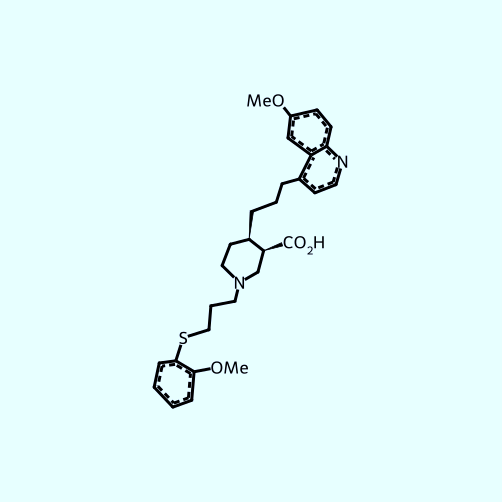 COc1ccc2nccc(CCC[C@@H]3CCN(CCCSc4ccccc4OC)C[C@@H]3C(=O)O)c2c1